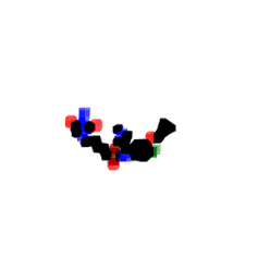 CN1CC([C@@H](NS(=O)(=O)CCCCCN2CC(=O)NC2=O)c2ccc(F)c(OCC3CC3)c2)C1